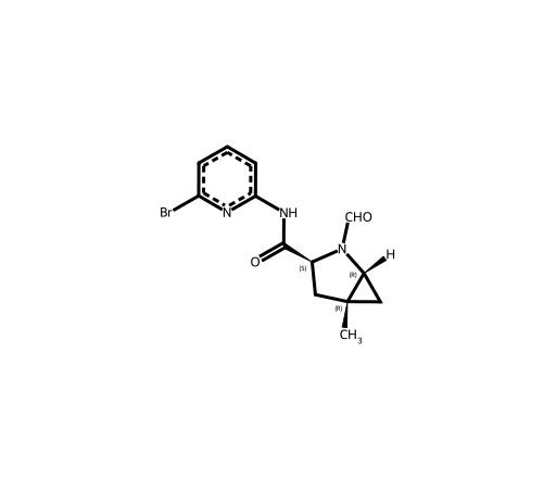 C[C@@]12C[C@@H](C(=O)Nc3cccc(Br)n3)N(C=O)[C@@H]1C2